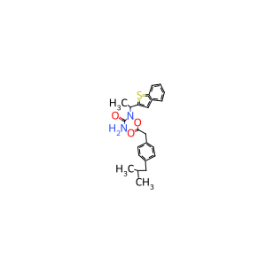 CC(C)Cc1ccc(CC(=O)ON(C(N)=O)C(C)c2cc3ccccc3s2)cc1